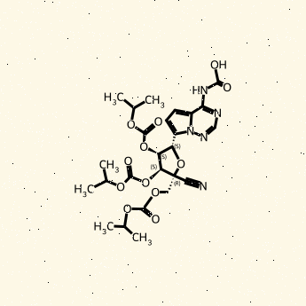 CC(C)OC(=O)OC[C@@]1(C#N)O[C@@H](c2ccc3c(NC(=O)O)ncnn23)[C@H](OC(=O)OC(C)C)[C@@H]1OC(=O)OC(C)C